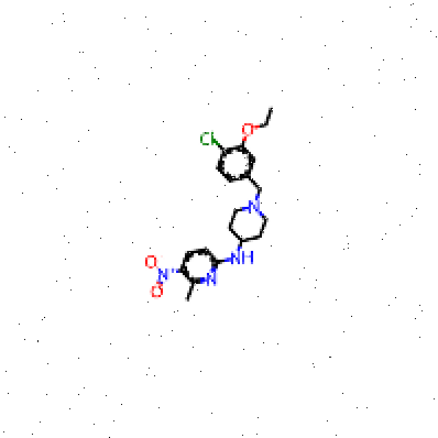 CCOc1cc(CN2CCC(Nc3ccc([N+](=O)[O-])c(C)n3)CC2)ccc1Cl